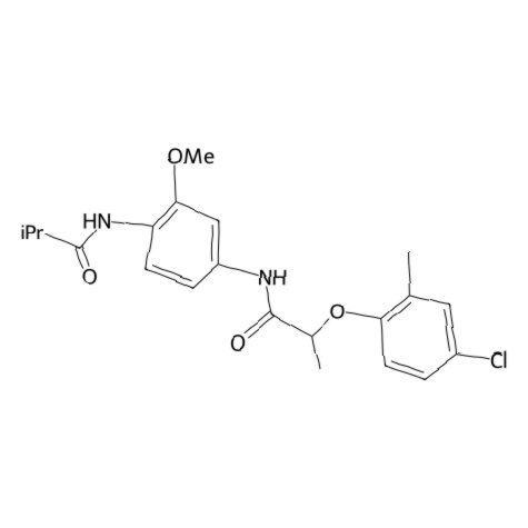 COc1cc(NC(=O)C(C)Oc2ccc(Cl)cc2C)ccc1NC(=O)C(C)C